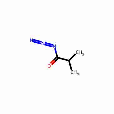 CC(C)C(=O)N=[N+]=[N-]